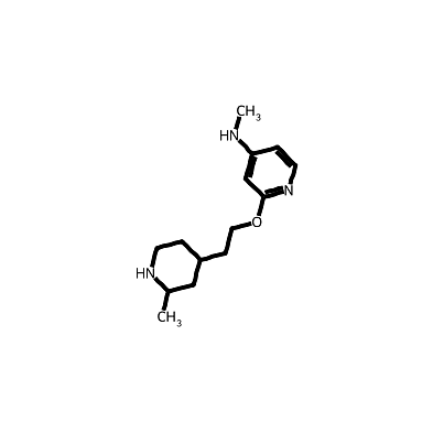 CNc1ccnc(OCCC2CCNC(C)C2)c1